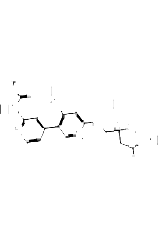 COC(=O)Nc1cc(-c2cnc(OC[C@@](C)(N)CC(C)C)cc2C)ccn1